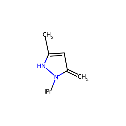 C=C1C=C(C)NN1C(C)C